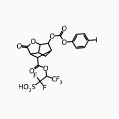 O=C(Oc1ccc(I)cc1)OC1C2CC3C1OC(=O)C3C2C(=O)OC(C(F)(F)F)C(F)(F)S(=O)(=O)O